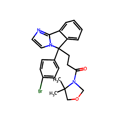 CC1(C)COCN1C(=O)CCC1(c2ccc(Br)cc2)c2ccccc2-c2nccn21